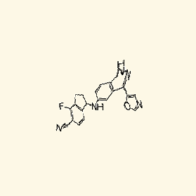 N#Cc1ccc2c(c1F)CC[C@H]2Nc1ccc2[nH]nc(-c3cnco3)c2c1